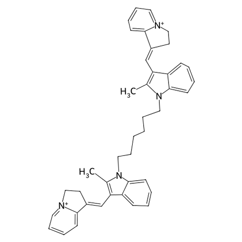 Cc1c(/C=C2\CC[n+]3ccccc32)c2ccccc2n1CCCCCCn1c(C)c(/C=C2\CC[n+]3ccccc32)c2ccccc21